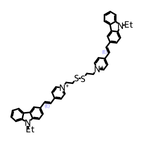 CCn1c2ccccc2c2cc(/C=C/c3cc[n+](CCSSCC[n+]4ccc(/C=C/c5ccc6c(c5)c5ccccc5n6CC)cc4)cc3)ccc21